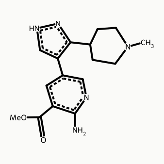 COC(=O)c1cc(-c2c[nH]nc2C2CCN(C)CC2)cnc1N